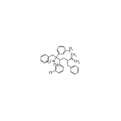 Cc1cccc(C(Cc2ccccc2)([C](CC(Cc2ccccc2)N(C)C)c2cccc(Cl)c2)N(C)C)c1